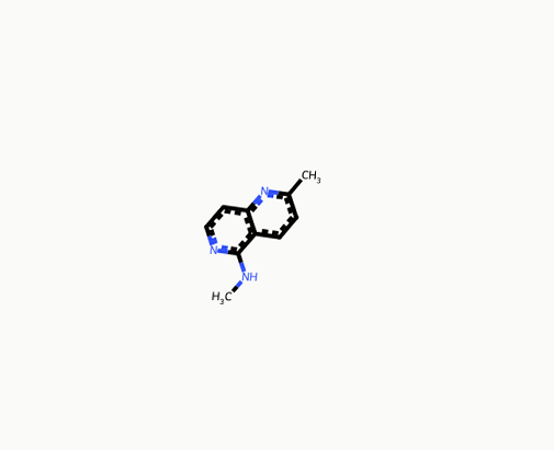 CNc1nccc2nc(C)ccc12